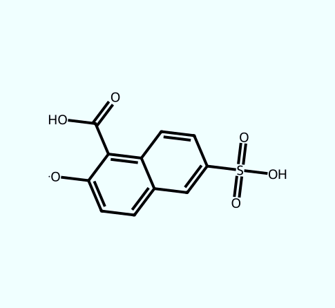 [O]c1ccc2cc(S(=O)(=O)O)ccc2c1C(=O)O